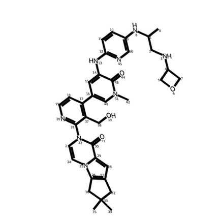 CC(CNC1COC1)Nc1ccc(Nc2cc(-c3ccnc(-n4ccn5c6c(cc5c4=O)CC(C)(C)C6)c3CO)cn(C)c2=O)nc1